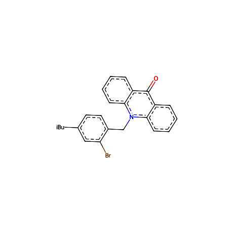 CCC(C)c1ccc(Cn2c3ccccc3c(=O)c3ccccc32)c(Br)c1